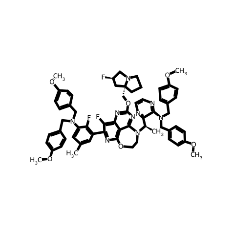 COc1ccc(CN(Cc2ccc(OC)cc2)c2cc(C)cc(-c3nc4c5c(nc(OC[C@@]67CCCN6C[C@H](F)C7)nc5c3F)N([C@H](C)c3nccnc3N(Cc3ccc(OC)cc3)Cc3ccc(OC)cc3)CCO4)c2F)cc1